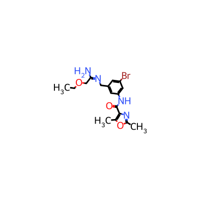 CCOC/C(N)=N\Cc1cc(Br)cc(NC(=O)c2nc(C)oc2C)c1